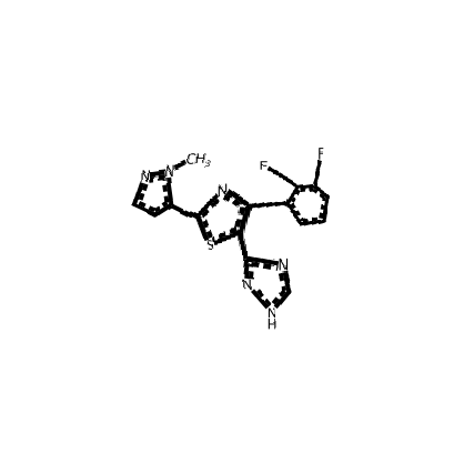 Cn1nccc1-c1nc(-c2cccc(F)c2F)c(-c2nc[nH]n2)s1